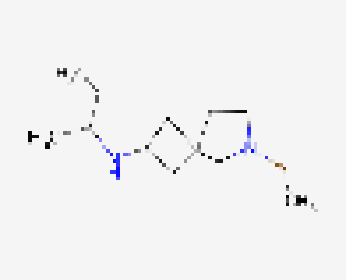 CCC(C)NC1CC2(CCN(SC)C2)C1